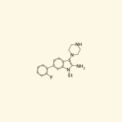 CCN1C(N)=S(N2CCNCC2)c2ccc(-c3ccccc3F)[c]c21